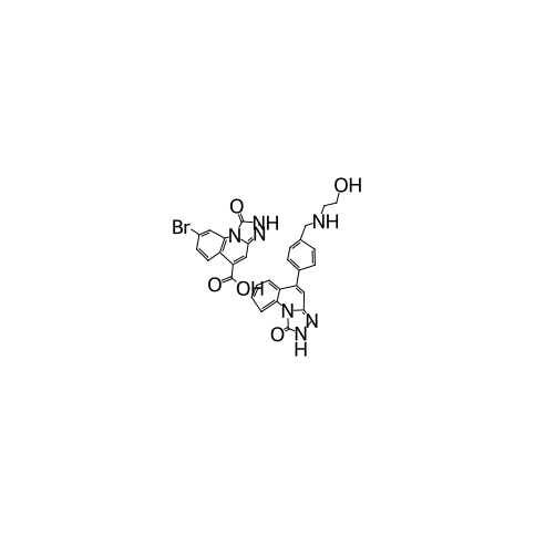 O=C(O)c1cc2n[nH]c(=O)n2c2cc(Br)ccc12.O=c1[nH]nc2cc(-c3ccc(CNCCO)cc3)c3ccccc3n12